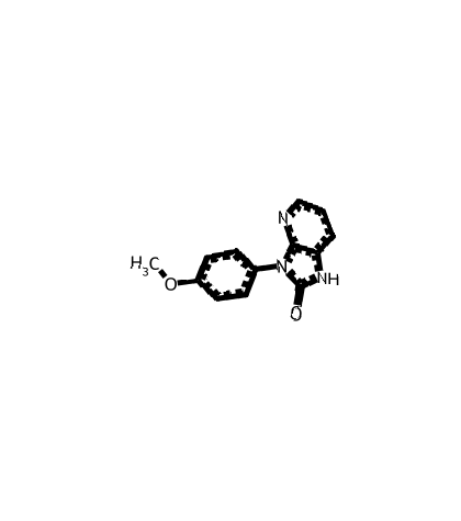 COc1ccc(-n2c(=O)[nH]c3cccnc32)cc1